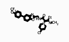 C=N/C(CC)=C(/C(=O)NCc1nc2cc(-c3ccc(OC(F)(F)F)cc3)ccc2o1)N1C=CC(Cl)=CC1